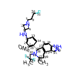 COc1cc(NC2CN(CCCF)C2)ccc1[C@@H]1c2ccc3[nH]ncc3c2C[C@@H](C)N1CC(C)(F)F